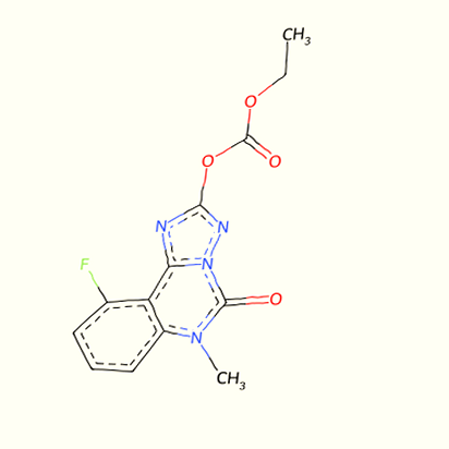 CCOC(=O)Oc1nc2c3c(F)cccc3n(C)c(=O)n2n1